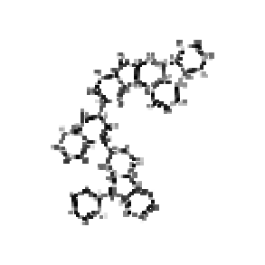 c1ccc(-n2c3ccccc3c3ccc(-c4nc(-c5ccc6oc7cc8c9c(cccc9c7c6c5)-c5ccccc5-8)nc5ccccc45)cc32)cc1